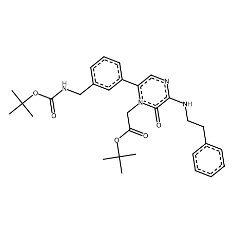 CC(C)(C)OC(=O)Cn1c(-c2cccc(CNC(=O)OC(C)(C)C)c2)cnc(NCCc2ccccc2)c1=O